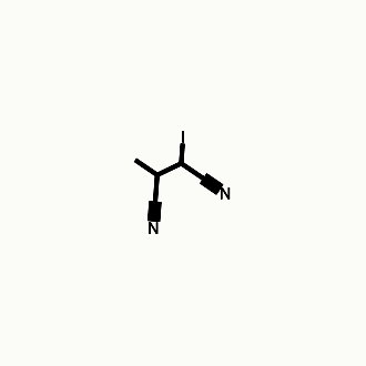 CC(C#N)C(I)C#N